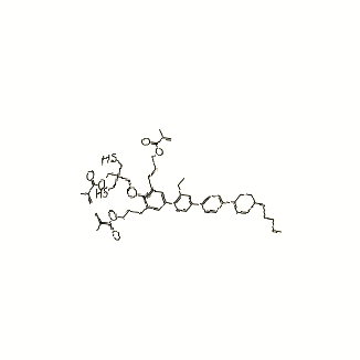 C=C(C)C(=O)OCCCc1cc(-c2ccc(-c3ccc(C4CCC(CCCCC)CC4)cc3)cc2CC)cc(CCCOC(=O)C(=C)C)c1OCC(CS)(CS)COC(=O)C(=C)C